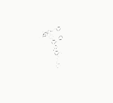 C[C@H]1[C@@H](N(C(=O)CCc2ccccc2)C2CCN(c3ccc(C(=O)NS(=O)(=O)c4ccc(NCCCN5CCOCC5)c([N+](=O)[O-])c4)c(Oc4ccccc4)c3)CC2)C[C@@H]2C[C@@H]1C2(C)C